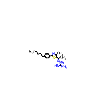 CCCCCc1ccc(-c2nc(C)c(/C(C)=N/NC(=N)N)s2)cc1